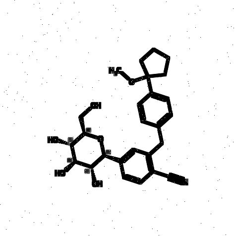 COC1(c2ccc(Cc3cc([C@@H]4O[C@H](CO)[C@@H](O)[C@H](O)[C@H]4O)ccc3C#N)cc2)CCCC1